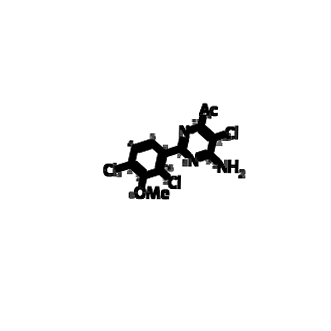 COc1c(Cl)ccc(-c2nc(N)c(Cl)c(C(C)=O)n2)c1Cl